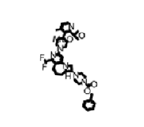 COC1(c2nccc(C)c2C2CCN(c3cc4c(c(C(F)F)n3)C=CC[C@H]3[C@H](N5CCN(C(=O)OCc6ccccc6)CC5)CN43)CC2)COC1